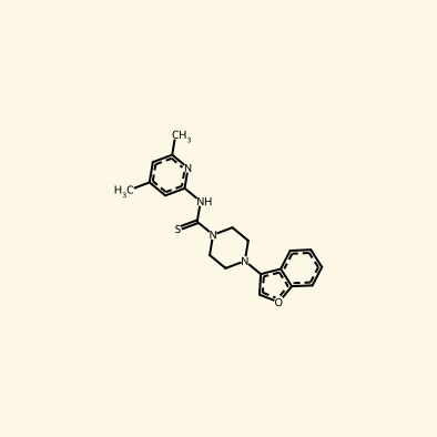 Cc1cc(C)nc(NC(=S)N2CCN(c3coc4ccccc34)CC2)c1